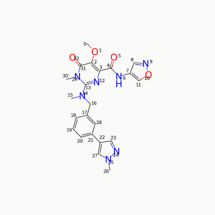 COc1c(C(=O)Nc2cnoc2)nc(N(C)Cc2cccc(-c3cnn(C)c3)c2)n(C)c1=O